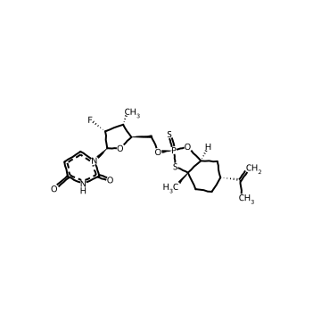 C=C(C)[C@@H]1CC[C@]2(C)S[P@@](=S)(OC[C@H]3O[C@@H](n4ccc(=O)[nH]c4=O)[C@H](F)[C@@H]3C)O[C@H]2C1